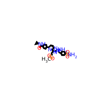 CS(=O)(=O)CCc1nc(N(N)Cc2ccc(S(N)(=O)=O)cc2)nc2ccc(-c3ccc(C(=O)NC4CC4)cc3)nc12